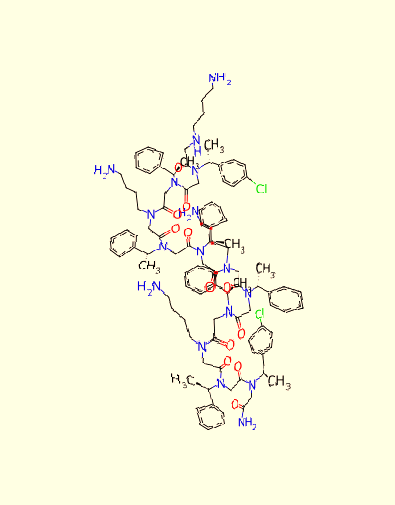 C[C@H](c1ccc(Cl)cc1)N(CC(N)=O)C(=O)CN(C(=O)CN(CCCCN)C(=O)CN(C(=O)CN(C(=O)CN(CCCCN)C(=O)CN(C(=O)CN(C(=O)CN(CCCCN)C(=O)CN(C(=O)CN(C(=O)CNCCCCN)[C@H](C)c1ccc(Cl)cc1)[C@H](C)c1ccccc1)[C@H](C)c1ccccc1)[C@H](C)c1ccccc1)[C@H](C)c1ccccc1)[C@H](C)c1ccccc1)[C@H](C)c1ccccc1